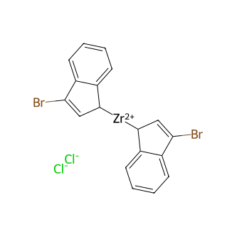 BrC1=C[CH]([Zr+2][CH]2C=C(Br)c3ccccc32)c2ccccc21.[Cl-].[Cl-]